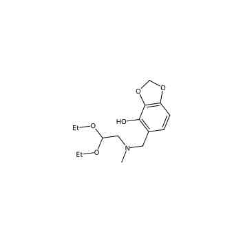 CCOC(CN(C)Cc1ccc2c(c1O)OCO2)OCC